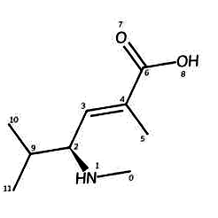 CN[C@H](C=C(C)C(=O)O)C(C)C